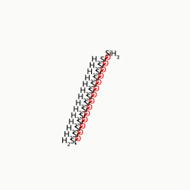 C[SiH2]O[SiH2]O[SiH2]O[SiH2]O[SiH2]O[SiH2]O[SiH2]O[SiH2]O[SiH2]O[SiH2]O[SiH2]O[SiH2]O[SiH2]O[SiH2]O[SiH3]